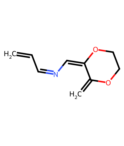 C=C/C=N\C=C1\OCCOC1=C